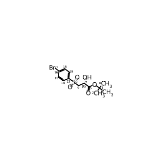 CC(C)(C)OC(=O)[C@@H](O)CS(=O)(=O)c1ccc(Br)cc1